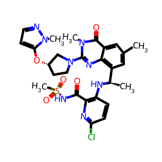 Cc1cc([C@@H](C)Nc2ccc(Cl)nc2C(=O)NS(C)(=O)=O)c2nc(N3CC[C@H](Oc4ccnn4C)C3)n(C)c(=O)c2c1